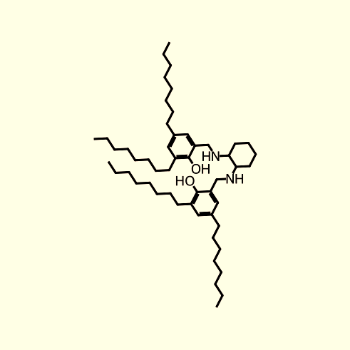 CCCCCCCCc1cc(CCCCCCCC)c(O)c(CNC2CCCCC2NCc2cc(CCCCCCCC)cc(CCCCCCCC)c2O)c1